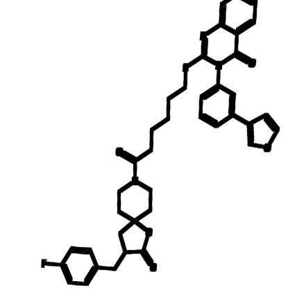 O=C1OC2(CCN(C(=O)CCCCCSc3nc4ccccc4c(=O)n3-c3cccc(-c4ccoc4)c3)CC2)CC1Cc1ccc(F)cc1